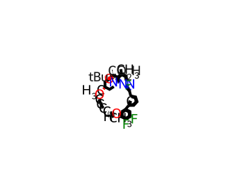 Cc1cc2nc3c(F)n2c(c1[C@H](OC(C)(C)C)C(=O)O)N1CCC(C)(CC1)OCCCC[C@H](C)Oc1cc(F)c(F)cc1-c1cccc-3c1